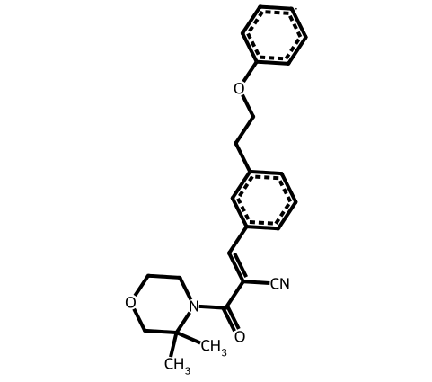 CC1(C)COCCN1C(=O)C(C#N)=Cc1cccc(CCOc2cc[c]cc2)c1